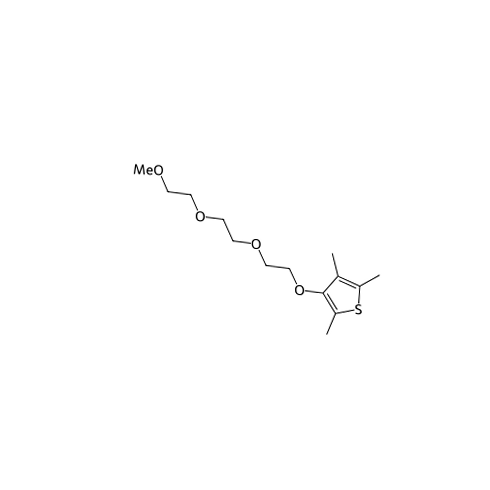 COCCOCCOCCOc1c(C)sc(C)c1C